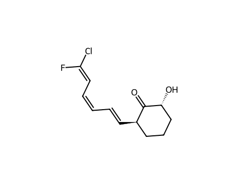 O=C1[C@H](O)CCC[C@H]1/C=C/C=C\C=C(/F)Cl